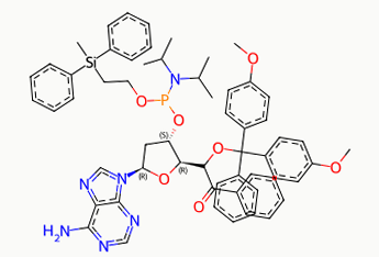 COc1ccc(C(OC(C(=O)c2ccccc2)[C@H]2O[C@@H](n3cnc4c(N)ncnc43)C[C@@H]2OP(OCC[Si](C)(c2ccccc2)c2ccccc2)N(C(C)C)C(C)C)(c2ccccc2)c2ccc(OC)cc2)cc1